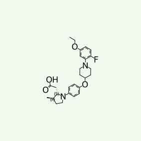 CCOc1ccc(F)c(N2CCC(Oc3ccc(N4CC[C@@H](C)[C@@H]4CC(=O)O)cc3)CC2)c1